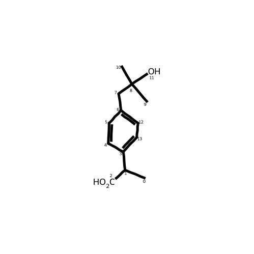 CC(C(=O)O)c1ccc(CC(C)(C)O)cc1